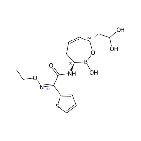 CCO/N=C(\C(=O)N[C@H]1CC=C[C@H](CC(O)O)OB1O)c1cccs1